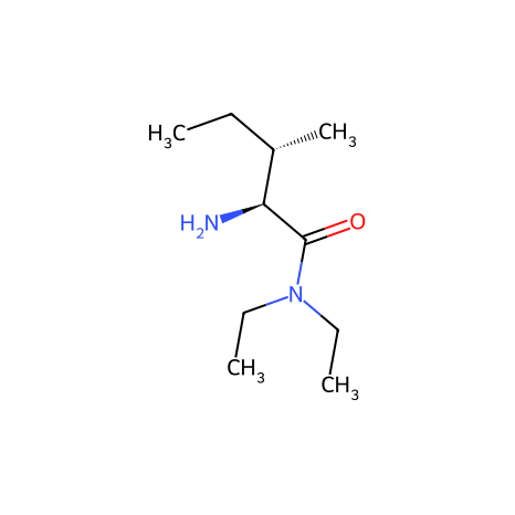 CC[C@H](C)[C@H](N)C(=O)N(CC)CC